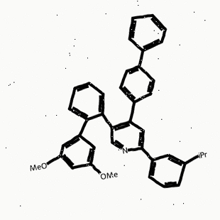 COc1cc(OC)cc(-c2ccccc2-c2cnc(-c3cccc(C(C)C)c3)cc2-c2ccc(-c3ccccc3)cc2)c1